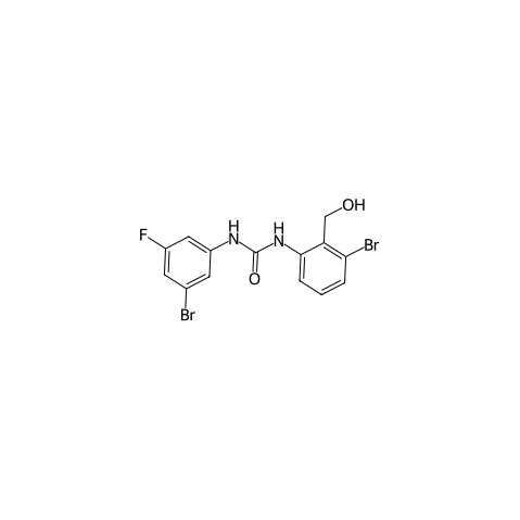 O=C(Nc1cc(F)cc(Br)c1)Nc1cccc(Br)c1CO